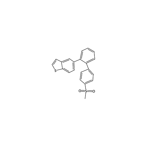 CS(=O)(=O)c1ccc(-c2ccccc2-c2ccc3sccc3c2)cc1